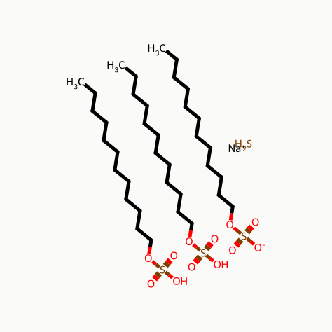 CCCCCCCCCCCCOS(=O)(=O)O.CCCCCCCCCCCCOS(=O)(=O)O.CCCCCCCCCCCCOS(=O)(=O)[O-].S.[Na+]